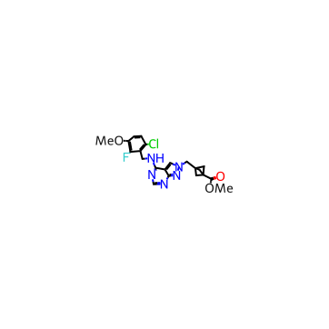 COC(=O)C12CC(Cn3cc4c(NCc5c(Cl)ccc(OC)c5F)ncnc4n3)(C1)C2